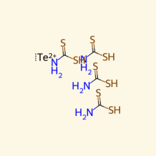 NC(=S)S.NC(=S)S.NC(=S)S.NC(=S)S.[Te+2]